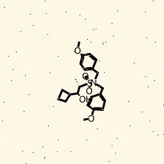 COc1ccc(CN(Cc2ccc(OC)cc2)S(=O)(=O)[C@@H](C)[C@@H](O)C2CCC2)cc1